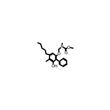 CCCCCc1cc(OCN(C)C(=O)OC)c(-c2ccccc2)c(O)c1C